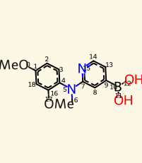 COc1ccc(N(C)c2cc(B(O)O)ccn2)c(OC)c1